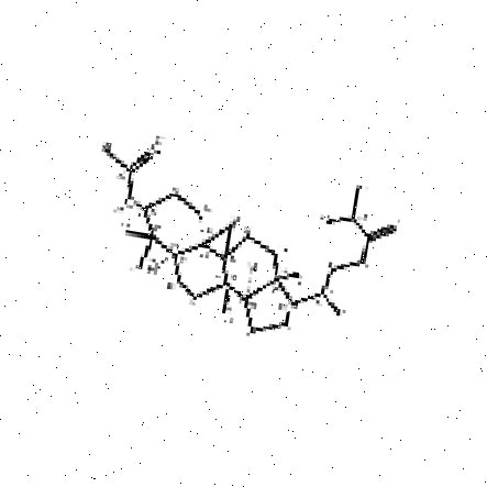 C=C(CC[C@@H](C)[C@H]1CC[C@@]2(C)[C@@H]3CC[C@H]4C(C)(C)[C@@H](OC(C)=O)CC[C@@]45CC35CC[C@]12C)C(C)C